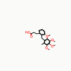 COc1c(C)c(Cc2ccccc2CCC(=O)O)c(OC)c(OC)c1OC